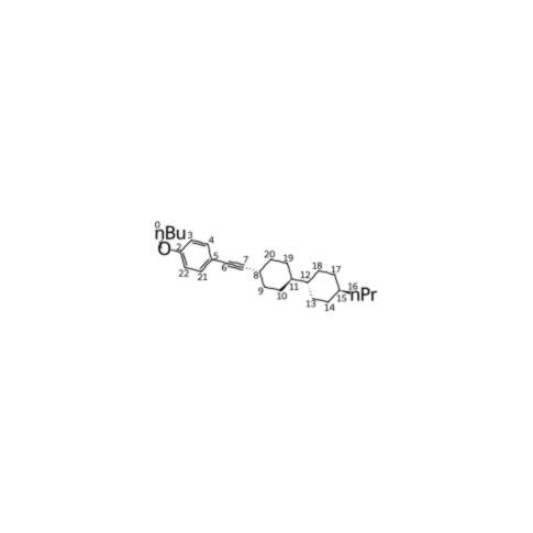 CCCCOc1ccc(C#C[C@H]2CC[C@H]([C@H]3CC[C@H](CCC)CC3)CC2)cc1